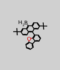 Bc1c2cc(C(C)(C)C)ccc2c(-c2cccc3c2oc2ccccc23)c2cc(C(C)(C)C)ccc12